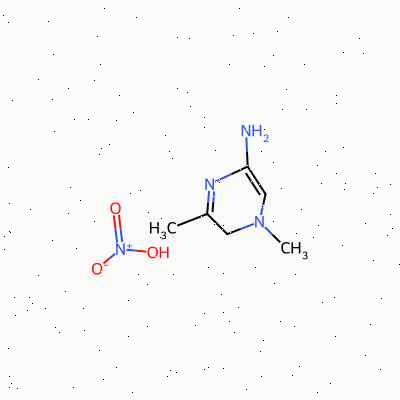 CC1=NC(N)=CN(C)C1.O=[N+]([O-])O